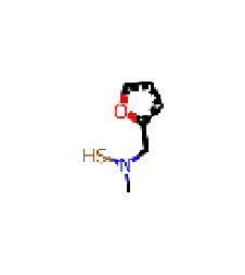 CN(S)Cc1ccco1